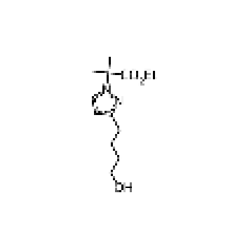 CCOC(=O)C(C)(C)n1ccc(CCCCO)n1